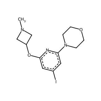 CN1CC(Oc2cc(I)cc(N3CCOCC3)n2)C1